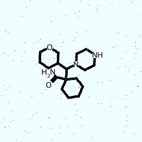 NC(=O)C1(C(C2CCCOC2)N2CCNCC2)CCCCC1